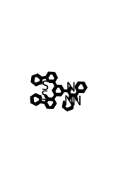 c1ccc2c(c1)nc(-c1cc(-c3cccc4c3sc3ccccc34)cc(-c3cccc4c3sc3ccccc34)c1)c1c2nc2ccccn21